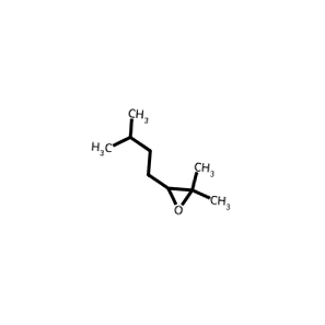 CC(C)CCC1OC1(C)C